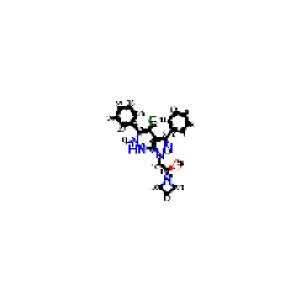 CN1Nc2c(c(-c3ccccc3)nn2CC(=O)N2CCC2)C(Cl)=C1c1ccccc1